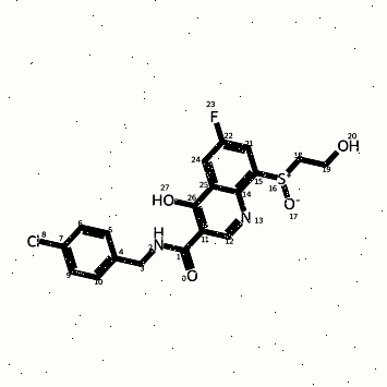 O=C(NCc1ccc(Cl)cc1)c1cnc2c([S+]([O-])CCO)cc(F)cc2c1O